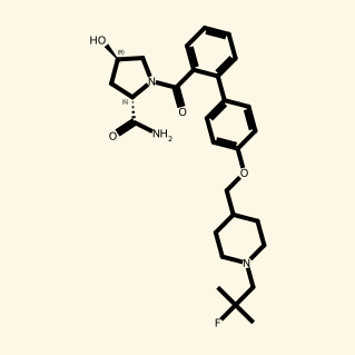 CC(C)(F)CN1CCC(COc2ccc(-c3ccccc3C(=O)N3C[C@H](O)C[C@H]3C(N)=O)cc2)CC1